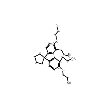 CCCc1cc(C2(c3ccc(OCCO)c(CCC)c3)CCCC2)ccc1OCCO